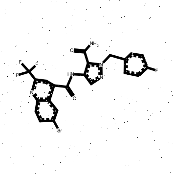 NC(=O)c1c(NC(=O)c2cc(C(F)(F)F)nc3ccc(Br)cc23)cnn1Cc1ccc(F)cc1